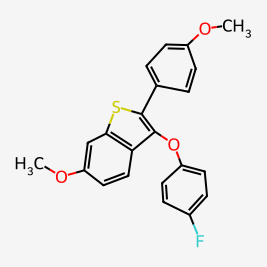 COc1ccc(-c2sc3cc(OC)ccc3c2Oc2ccc(F)cc2)cc1